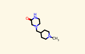 CN1CCC(CN2CCNC(=O)C2)CC1